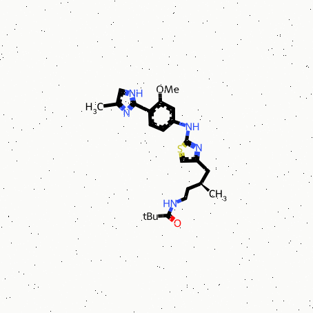 COc1cc(Nc2nc(C[C@@H](C)CCNC(=O)C(C)(C)C)cs2)ccc1-c1nc(C)c[nH]1